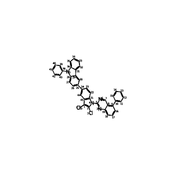 Clc1c(Cl)n(-c2ncc3c(-c4ccccc4)cccc3n2)c2ccc(-c3ccc4c(c3)c3ccccc3n4-c3ccccc3)cc12